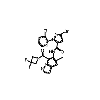 Cc1cc2ccnn2c(C(=O)N2CC(F)(F)C2)c1NC(=O)c1cc(Br)nn1-c1ncccc1Cl